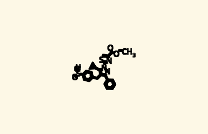 CCOC(=O)c1csc(-n2nc(-c3ccccc3)c(Cc3ccc([SH](=O)=O)cc3)c2C2CC2)n1